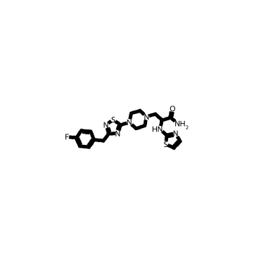 NC(=O)C(CN1CCN(c2nc(Cc3ccc(F)cc3)ns2)CC1)Nc1nccs1